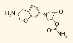 COC1CN(c2ccc3c(c2)OC[C@H](N)C3)CC1OC(N)=O